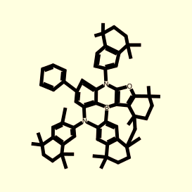 Cc1cc2c(cc1N1c3cc4c5cc3B3c6c1cc(-c1ccccc1)cc6N(c1ccc6c(c1)C(C)(C)CCC6(C)C)c1oc6c(c13)C(C)(CCC6(C)C)CC5(C)CCC4(C)C)C(C)(C)CCC2(C)C